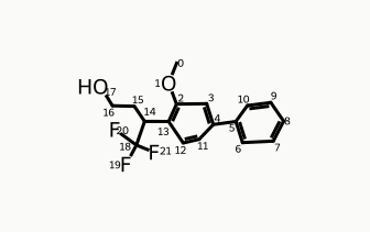 COc1cc(-c2ccccc2)ccc1C(CCO)C(F)(F)F